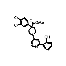 COC(=O)C1(c2ccc(Cl)c(Cl)c2)CCN(c2cnnc(-c3ccccc3O)c2)CC1